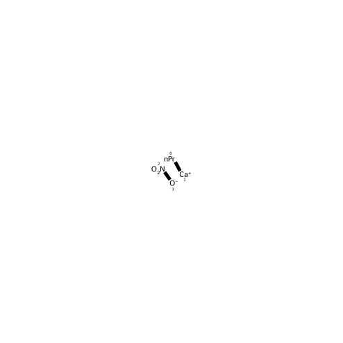 CC[CH2][Ca+].O=[N+]([O-])[O-]